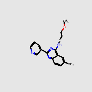 Bc1ccc2nc(-c3cccnc3)nc(NCCCOC)c2c1